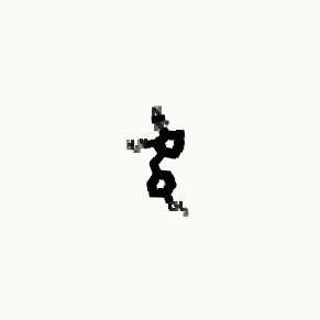 Cc1ccc(Cc2cccc([N+]#N)c2N)cc1